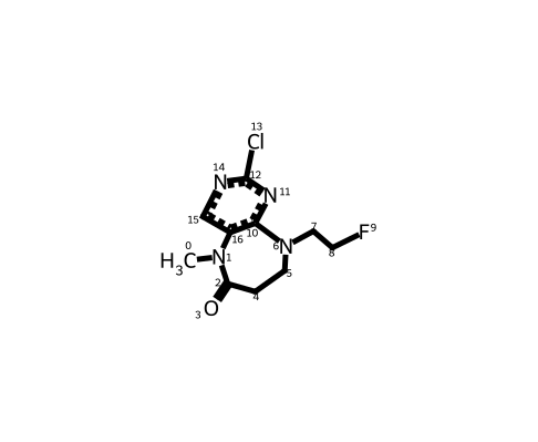 CN1C(=O)CCN(CCF)c2nc(Cl)ncc21